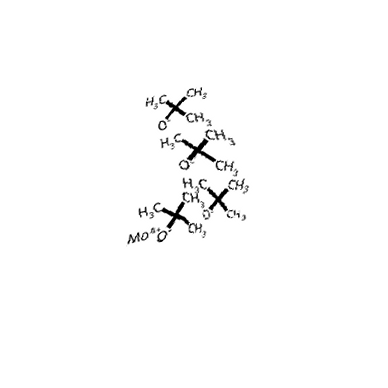 CC(C)(C)[O-].CC(C)(C)[O-].CC(C)(C)[O-].CC(C)(C)[O-].[Mo+4]